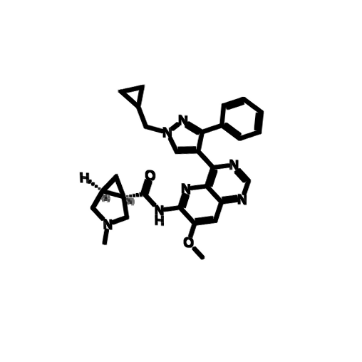 COc1cc2ncnc(-c3cn(CC4CC4)nc3-c3ccccc3)c2nc1NC(=O)[C@@]12C[C@@H]1CN(C)C2